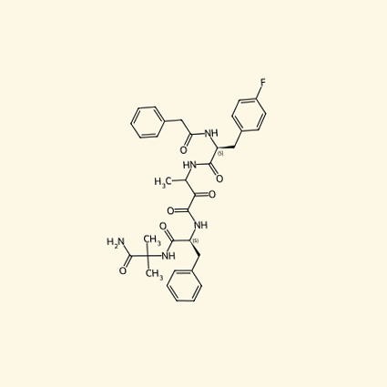 CC(NC(=O)[C@H](Cc1ccc(F)cc1)NC(=O)Cc1ccccc1)C(=O)C(=O)N[C@@H](Cc1ccccc1)C(=O)NC(C)(C)C(N)=O